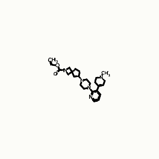 CCOC(=O)N1CC2(CCC(N3CCN(c4ncccc4C4=CCN(C)CC4)CC3)C2)C1